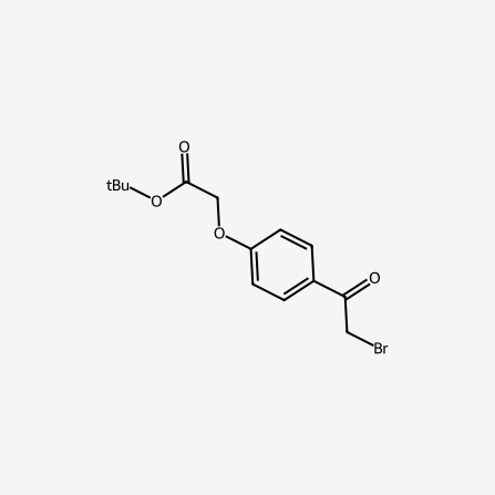 CC(C)(C)OC(=O)COc1ccc(C(=O)CBr)cc1